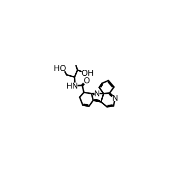 CC(O)C(CO)NC(=O)C1CC=CC2=C3C=CN=C4C=CC=CC43N=C21